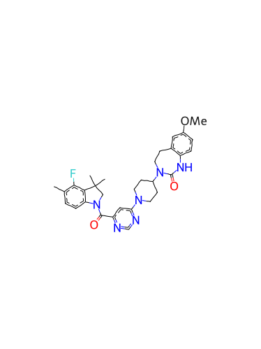 COc1ccc2c(c1)CCN(C1CCN(c3cc(C(=O)N4CC(C)(C)c5c4ccc(C)c5F)ncn3)CC1)C(=O)N2